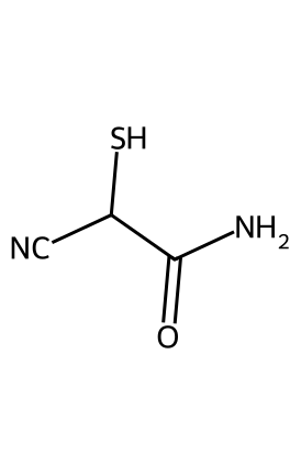 N#CC(S)C(N)=O